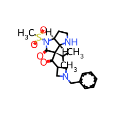 CC(C)[C@@]1(C(=O)C2CN(Cc3ccccc3)C2)C(=O)N(S(C)(=O)=O)[C@H]2CCN[C@@H]21